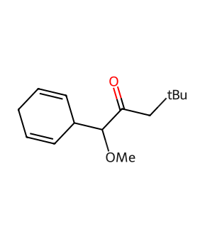 COC(C(=O)CC(C)(C)C)C1C=CCC=C1